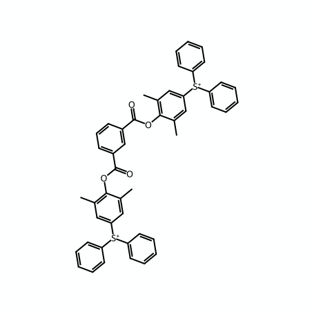 Cc1cc([S+](c2ccccc2)c2ccccc2)cc(C)c1OC(=O)c1cccc(C(=O)Oc2c(C)cc([S+](c3ccccc3)c3ccccc3)cc2C)c1